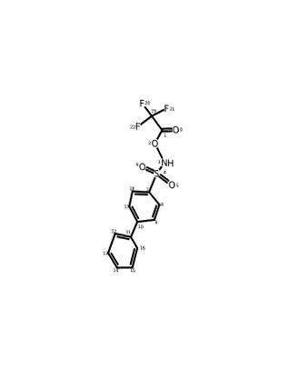 O=C(ONS(=O)(=O)c1ccc(-c2ccccc2)cc1)C(F)(F)F